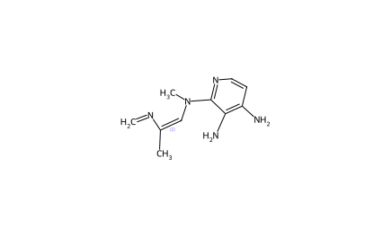 C=N/C(C)=C\N(C)c1nccc(N)c1N